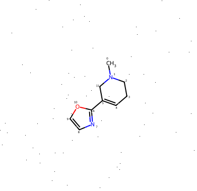 CN1CCC=C(c2ncco2)C1